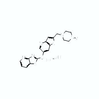 CC(=O)N1CCN(Cc2cc3ncc(Oc4nc5ncccc5s4)cc3o2)CC1.O=CO